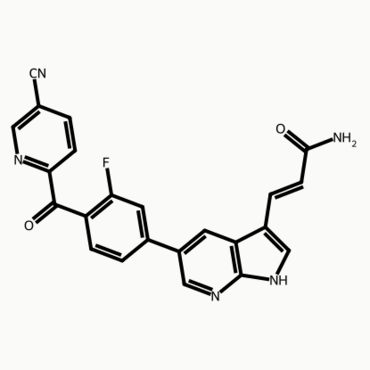 N#Cc1ccc(C(=O)c2ccc(-c3cnc4[nH]cc(C=CC(N)=O)c4c3)cc2F)nc1